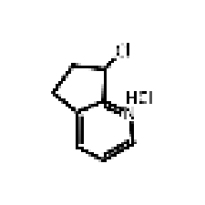 Cl.ClC1CCc2cccnc21